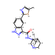 Cc1cnc(-c2ccc3[nH]nc(C(=O)N[C@@H]4CN5CCC4CC5)c3c2)s1